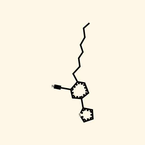 CCCCCCCCc1ccc(-c2cccs2)cc1C#N